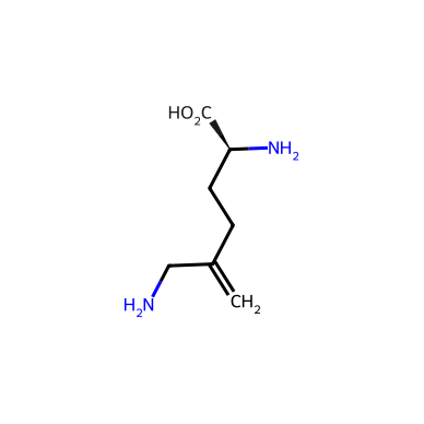 C=C(CN)CC[C@H](N)C(=O)O